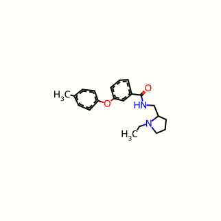 CCN1CCCC1CNC(=O)c1cccc(Oc2ccc(C)cc2)c1